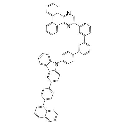 c1cc(-c2ccc(-n3c4ccccc4c4cc(-c5ccc(-c6cccc7ccccc67)cc5)ccc43)cc2)cc(-c2cccc(-c3cnc4c5ccccc5c5ccccc5c4n3)c2)c1